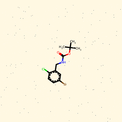 CC(C)(C)OC(=O)NCc1cc(Br)ccc1Cl